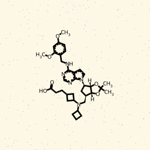 COc1ccc(CNc2ncnc3c2ccn3[C@@H]2C[C@H](CN(C3CCC3)C3CC(CCC(=O)O)C3)[C@H]3OC(C)(C)O[C@H]32)c(OC)c1